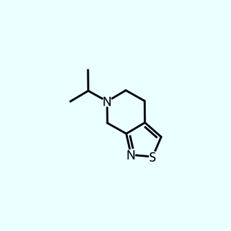 CC(C)N1CCc2csnc2C1